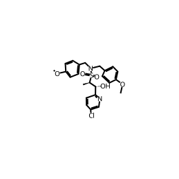 COc1ccc(CN(Cc2ccc(OC)cc2)S(=O)(=O)[C@H](C)[C@H](O)c2ccc(Cl)cn2)cc1